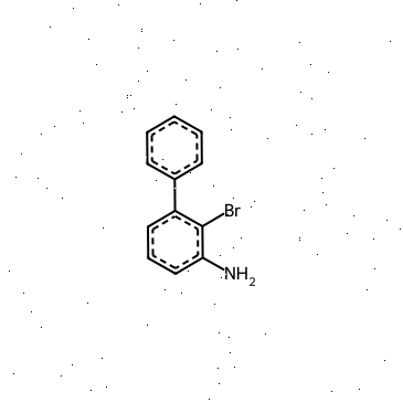 Nc1cccc(-c2ccccc2)c1Br